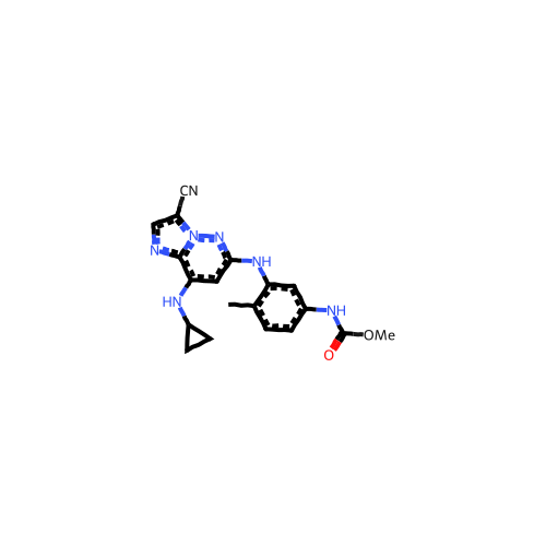 COC(=O)Nc1ccc(C)c(Nc2cc(NC3CC3)c3ncc(C#N)n3n2)c1